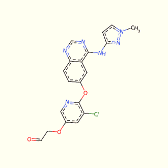 Cn1ccc(Nc2ncnc3ccc(Oc4ncc(OCC=O)cc4Cl)cc23)n1